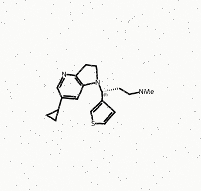 CNCC[C@H](c1ccsc1)N1CCc2ncc(C3CC3)cc21